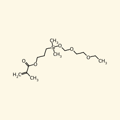 C=C(C)C(=O)OCCC[Si](C)(C)OCOCCOCC